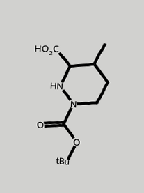 CC1CCN(C(=O)OC(C)(C)C)NC1C(=O)O